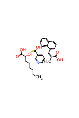 CC(=Cc1cccc2ccccc12)C(=O)O.CCCCCCC(O)C(=O)O.OC(=S)c1cccnc1